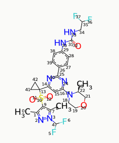 Cc1nn(C(F)F)c(C)c1S(=O)(=O)C1(c2cc(N3CCOC[C@@H]3C)nc(-c3ccc(NC(=O)NCC(F)F)cc3)n2)CC1